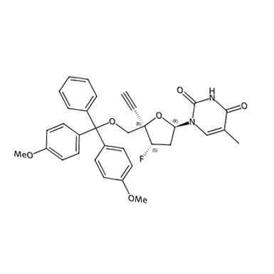 C#C[C@]1(COC(c2ccccc2)(c2ccc(OC)cc2)c2ccc(OC)cc2)O[C@@H](n2cc(C)c(=O)[nH]c2=O)C[C@@H]1F